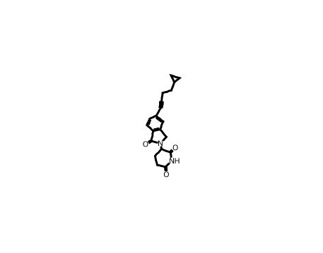 O=C1CCC(N2Cc3cc(C#CCCC4CC4)ccc3C2=O)C(=O)N1